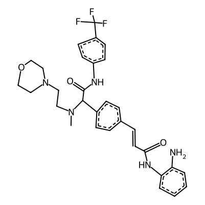 CN(CCN1CCOCC1)C(C(=O)Nc1ccc(C(F)(F)F)cc1)c1ccc(C=CC(=O)Nc2ccccc2N)cc1